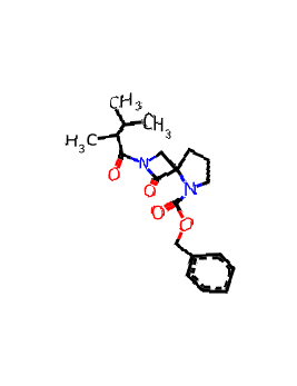 CC(C)C(C)C(=O)N1CC2(CCCN2C(=O)OCc2ccccc2)C1=O